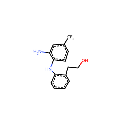 Nc1cc(C(F)(F)F)ccc1Nc1ccccc1CCO